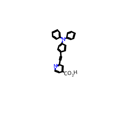 O=C(O)c1ccnc(C#Cc2ccc(N(c3ccccc3)c3ccccc3)cc2)c1